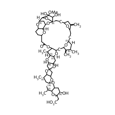 C=C1CC2CC[C@@]34OC5C[C@@H](OC6CCC(CC(=O)OC7C(CC8O[C@@H](CCC1O2)C[C@@H](C)C8=C)O[C@H]1C[C@H]2O[C@@]8(CC9O[C@]%10(C[C@H](C)C%11O[C@H](CC(=O)O)[C@H](O)CC%11O%10)C[C@H](C)C9O8)C[C@H]2O[C@H]1[C@@H]7C)O[C@@H]65)C(O3)C(O)(OC)C4O